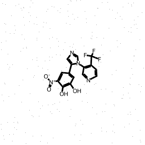 O=[N+]([O-])c1cc(-c2cncn2-c2cnccc2C(F)(F)F)cc(O)c1O